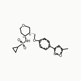 Cc1cc(-c2ccc(OC[C@H]3COCC[C@@H]3NS(=O)(=O)C3CC3)cc2)no1